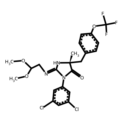 COC(C/N=C1\N[C@](C)(Cc2ccc(OC(F)(F)F)cc2)C(=O)N1c1cc(Cl)cc(Cl)c1)OC